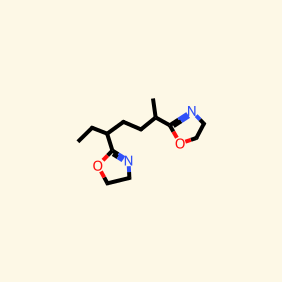 CCC(CCC(C)C1=NCCO1)C1=NCCO1